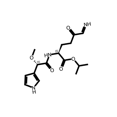 CO[C@H](C(=O)N[C@@H](CCC(=O)C=N)C(=O)OC(C)C)c1cc[nH]c1